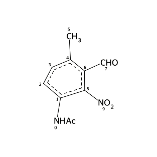 CC(=O)Nc1ccc(C)c(C=O)c1[N+](=O)[O-]